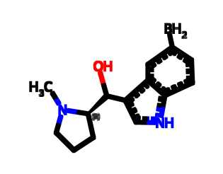 Bc1ccc2[nH]cc(C(O)[C@H]3CCCN3C)c2c1